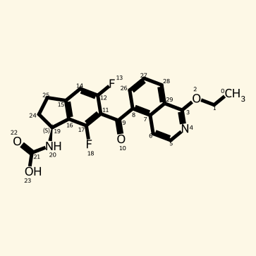 CCOc1nccc2c(C(=O)c3c(F)cc4c(c3F)[C@@H](NC(=O)O)CC4)cccc12